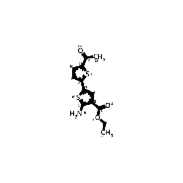 CCOC(=O)c1cc(-c2ccc(C(C)=O)s2)sc1N